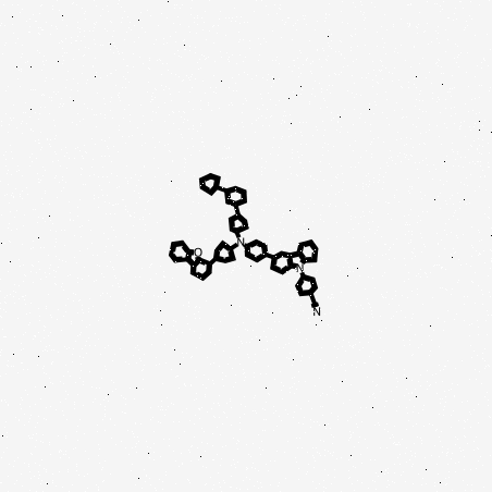 N#Cc1ccc(-n2c3ccccc3c3cc(-c4ccc(N(c5ccc(-c6cccc(-c7ccccc7)c6)cc5)c5ccc(-c6cccc7c6oc6ccccc67)cc5)cc4)ccc32)cc1